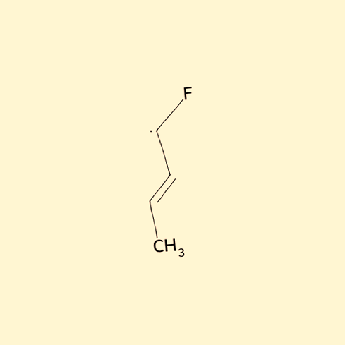 C/C=C/[CH]F